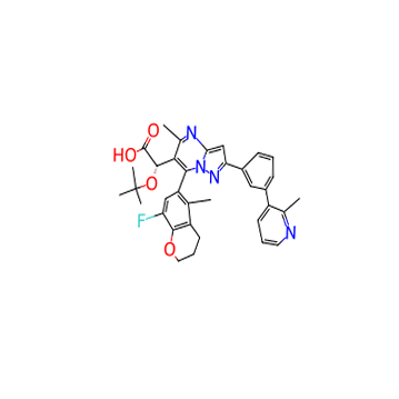 Cc1ncccc1-c1cccc(-c2cc3nc(C)c([C@H](OC(C)(C)C)C(=O)O)c(-c4cc(F)c5c(c4C)CCCO5)n3n2)c1